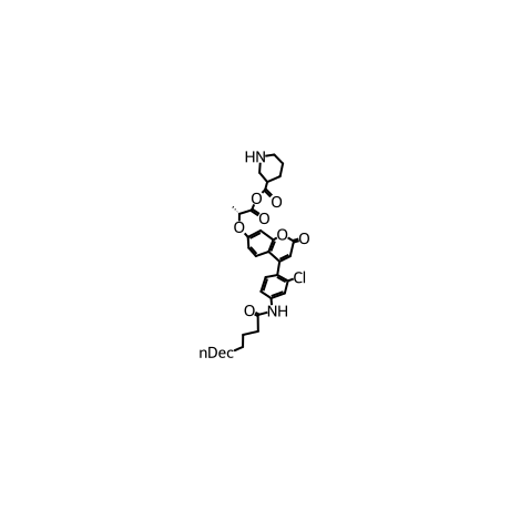 CCCCCCCCCCCCCC(=O)Nc1ccc(-c2cc(=O)oc3cc(O[C@H](C)C(=O)OC(=O)C4CCCNC4)ccc23)c(Cl)c1